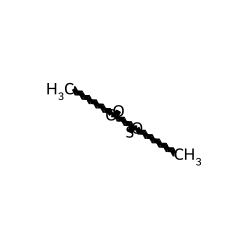 CCCCCCCCCCCCOC(=O)CCCCC(=S)OCCCCCCCCCCCC